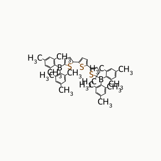 Cc1cc(C)c(B(C2=CCC(c3ccc(C4=CCC(C)(B(c5c(C)cc(C)cc5C)c5c(C)cc(C)cc5C)S4)s3)S2)c2c(C)cc(C)cc2C)c(C)c1